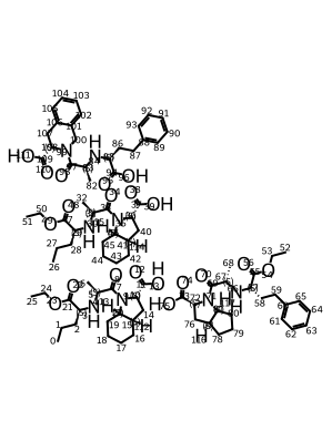 CCC[C@H](N[C@@H](C)C(=O)N1[C@H](C(=O)O)C[C@@H]2CCCC[C@@H]21)C(=O)OCC.CCC[C@H](N[C@@H](C)C(=O)N1[C@H](C(=O)O)C[C@@H]2CCCC[C@@H]21)C(=O)OCC.CCOC(=O)[C@H](CCc1ccccc1)N[C@@H](C)C(=O)N1[C@H](C(=O)O)C[C@@H]2CCC[C@@H]21.C[C@H](N[C@@H](CCc1ccccc1)C(=O)O)C(=O)N1Cc2ccccc2C[C@H]1C(=O)O